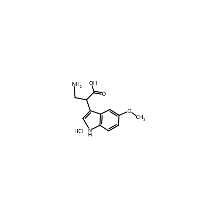 COc1ccc2[nH]cc(C(CN)C(=O)O)c2c1.Cl